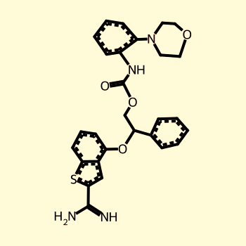 N=C(N)c1cc2c(OC(COC(=O)Nc3ccccc3N3CCOCC3)c3ccccc3)cccc2s1